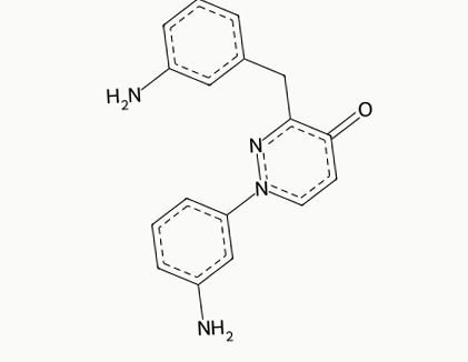 Nc1cccc(Cc2nn(-c3cccc(N)c3)ccc2=O)c1